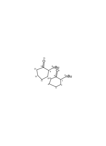 CCCCC1CCCCC1=O.CCCCC1CCCCC1=O